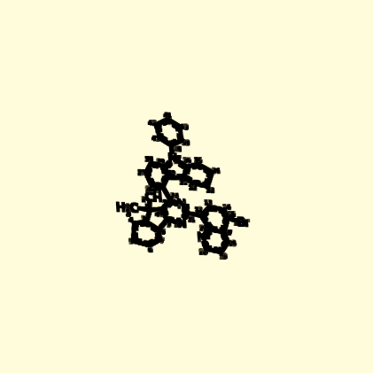 CC1(C)c2ccccc2-c2nc(-c3ccc(Br)c4cccnc34)nc(-c3cccc4c3c3ccccc3n4-c3ccccc3)c21